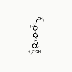 C=CCOc1ccc(-c2ccc(OCc3ccc(C(C)O)c(F)c3F)cc2)cc1F